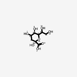 O=C(O)[C@@]1(O)CC(O)[C@@H](O)C(C(O)CO)O1